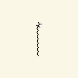 CCCCCCCCCCCCCCC(C)(C)[C](C)C